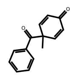 CC1(C(=O)c2ccccc2)C=CC(=O)C=C1